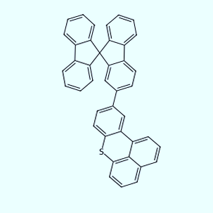 c1ccc2c(c1)-c1ccccc1C21c2ccccc2-c2ccc(-c3ccc4c(c3)-c3cccc5cccc(c35)S4)cc21